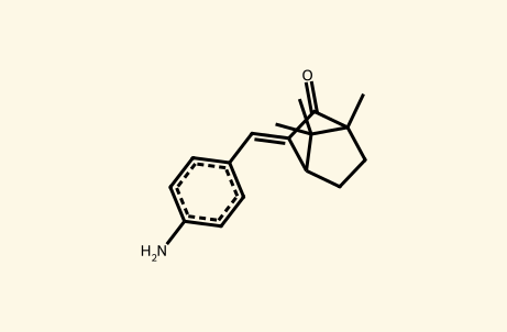 CC12CCC(C(=Cc3ccc(N)cc3)C1=O)C2(C)C